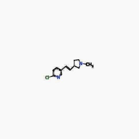 CN1CCC(C=Cc2ccc(Cl)nc2)C1